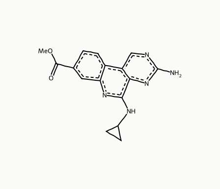 COC(=O)c1ccc2c(c1)nc(NC1CC1)c1nc(N)ncc12